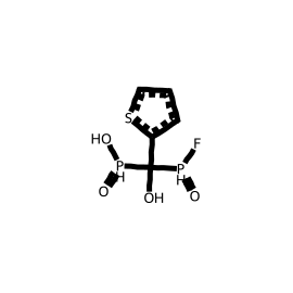 O=[PH](O)C(O)(c1cccs1)[PH](=O)F